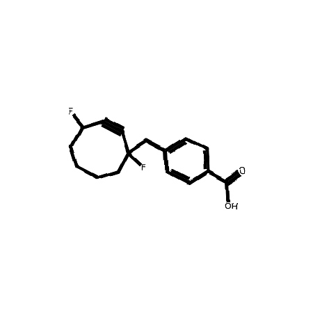 O=C(O)c1ccc(CC2(F)C#CC(F)CCCC2)cc1